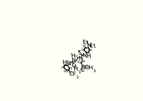 CCN(CC)c1ccc(NC(=S)N(CCNC(=O)Nc2cccc(C(F)(F)F)c2)CCN(C)C)cc1